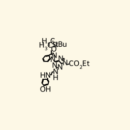 CCOC(=O)Cn1cnc2c(-n3nc(CO[Si](C)(C)C(C)(C)C)c4ccccc43)nc(NCCNc3ccc(O)cc3)nc21